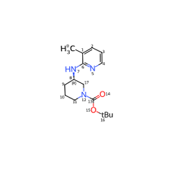 Cc1cccnc1N[C@@H]1CCCN(C(=O)OC(C)(C)C)C1